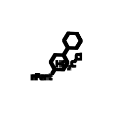 CCCCCC1CCC(C2CCCCC2)CC1.O=C(O)Cl